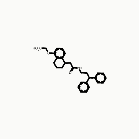 O=C(O)COc1cccc2c1CCCC2CC(=O)NCCC(c1ccccc1)c1ccccc1